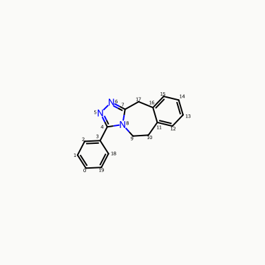 c1ccc(-c2nnc3n2CCc2ccccc2C3)cc1